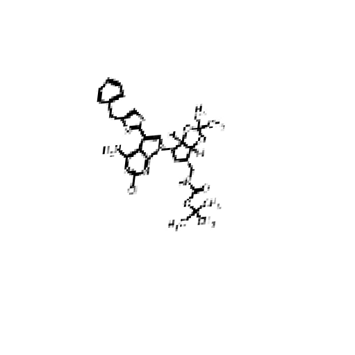 CC(C)(C)OC(=O)NC[C@H]1C[C@@H](n2cc(-c3nc(Cc4ccccc4)cs3)c3c(N)nc(Cl)nc32)[C@@H]2OC(C)(C)O[C@H]12